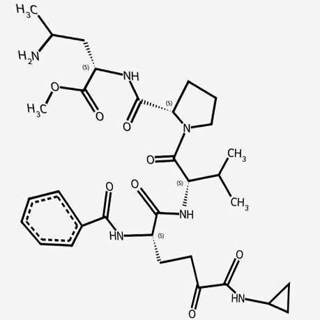 COC(=O)[C@H](CC(C)N)NC(=O)[C@@H]1CCCN1C(=O)[C@@H](NC(=O)[C@H](CCC(=O)C(=O)NC1CC1)NC(=O)c1ccccc1)C(C)C